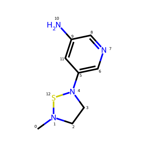 CN1CCN(c2cncc(N)c2)S1